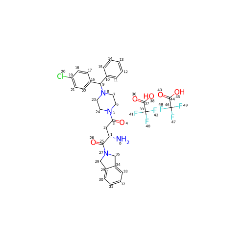 N[C@@H](CC(=O)N1CCN(C(c2ccccc2)c2ccc(Cl)cc2)CC1)C(=O)N1Cc2ccccc2C1.O=C(O)C(F)(F)F.O=C(O)C(F)(F)F